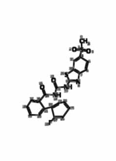 CS(=O)(=O)c1ccc2nc(NC(=O)NC(=O)c3ccccc3-c3ccccc3F)sc2c1